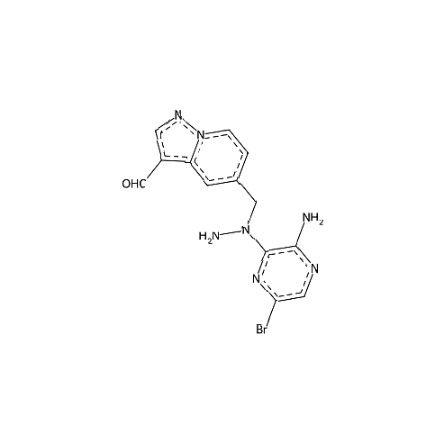 Nc1ncc(Br)nc1N(N)Cc1ccn2ncc(C=O)c2c1